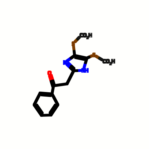 O=C(O)Sc1nc(CC(=O)c2ccccc2)[nH]c1SC(=O)O